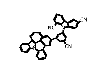 N#Cc1cc(-c2cccc(-c3ccccc3-n3c4c(c5ccccc53)C=CC=CC4)c2)cc(-n2c3ccc(C#N)cc3c3cccc(C#N)c32)c1